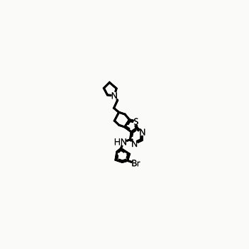 Brc1cccc(Nc2ncnc3sc4c(c23)CCC(CCN2CCCC2)C4)c1